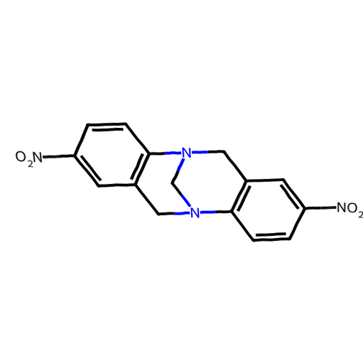 O=[N+]([O-])c1ccc2c(c1)CN1CN2Cc2cc([N+](=O)[O-])ccc21